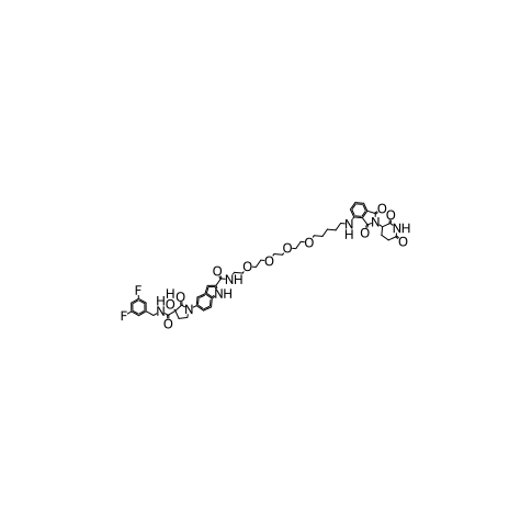 O=C1CCC(N2C(=O)c3cccc(NCCCCCOCCOCCOCCOCCNC(=O)c4cc5cc(N6CCC(O)(C(=O)NCc7cc(F)cc(F)c7)C6=O)ccc5[nH]4)c3C2=O)C(=O)N1